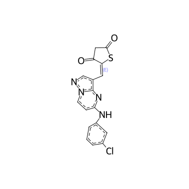 O=C1CC(=O)/C(=C\c2cnn3ccc(Nc4cccc(Cl)c4)nc23)S1